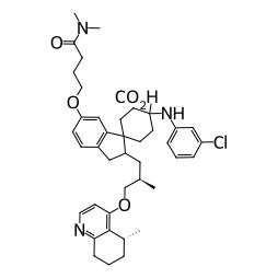 C[C@@H](COc1ccnc2c1[C@H](C)CCC2)CC1Cc2ccc(OCCCC(=O)N(C)C)cc2C12CCC(Nc1cccc(Cl)c1)(C(=O)O)CC2